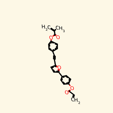 C=CC(=O)Oc1ccc(-c2ccc(C#Cc3ccc(OC(=O)C(=C)C)cc3)o2)cc1